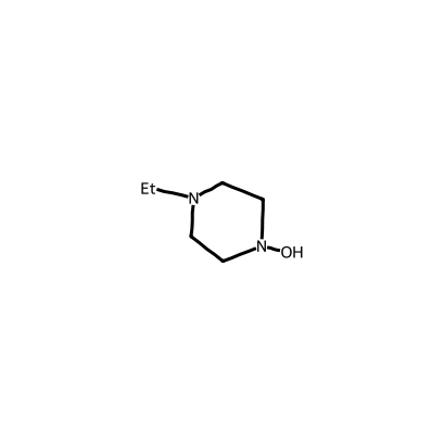 CCN1CCN(O)CC1